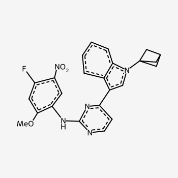 COc1cc(F)c([N+](=O)[O-])cc1Nc1nccc(-c2cn(C34CC(C3)C4)c3ccccc23)n1